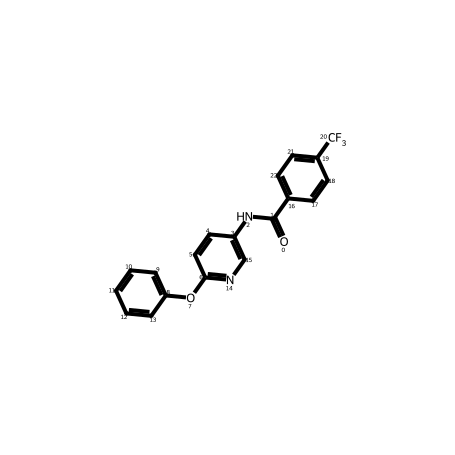 O=C(Nc1ccc(Oc2ccccc2)nc1)c1ccc(C(F)(F)F)cc1